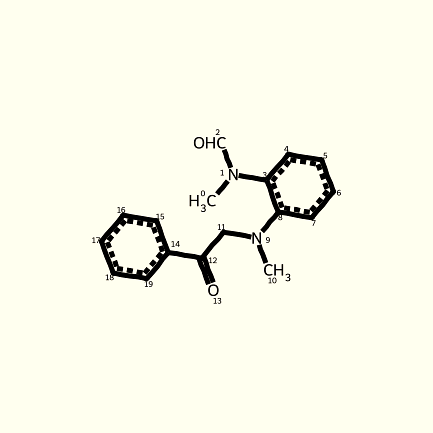 CN(C=O)c1ccccc1N(C)CC(=O)c1ccccc1